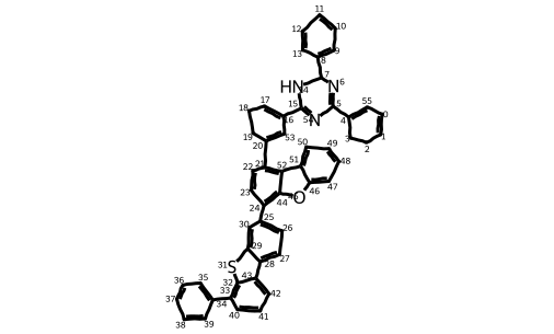 C1=CCCC(C2=NC(c3ccccc3)NC(C3=CCCC(c4ccc(-c5ccc6c(c5)sc5c(-c7ccccc7)cccc56)c5oc6ccccc6c45)=C3)=N2)=C1